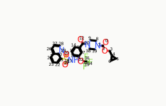 O=C(OCC1CC1)N1CCN(C(=O)c2ccc(NS(=O)(=O)c3cccc4cccnc34)c(OC(F)(F)F)c2)CC1